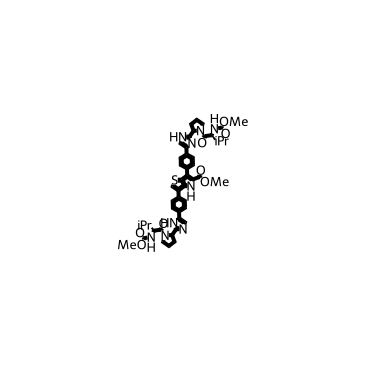 COC(=O)N[C@H](C(=O)N1CCCC1c1nc(-c2ccc(-c3c(C(=O)OC)[nH]c4c(-c5ccc(-c6cnc(C7CCCN7C(=O)[C@@H](NC(=O)OC)C(C)C)[nH]6)cc5)csc34)cc2)c[nH]1)C(C)C